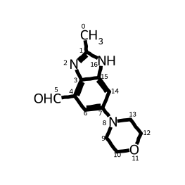 Cc1nc2c(C=O)cc(N3CCOCC3)cc2[nH]1